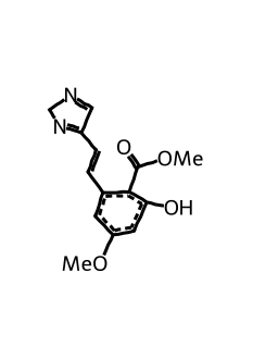 COC(=O)c1c(O)cc(OC)cc1/C=C/C1=NCN=C1